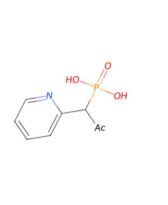 CC(=O)C(c1ccccn1)P(=O)(O)O